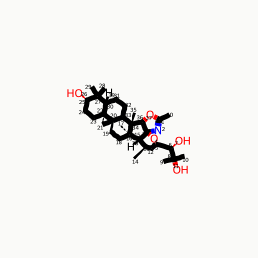 CC1=NC23OC([C@H](O)C(C)(C)O)C[C@@H](C)[C@@H]2[C@@]2(C)CC[C@@]45C[C@@]46CC[C@H](O)C(C)(C)[C@@H]6CCC5[C@]2(C)C3O1